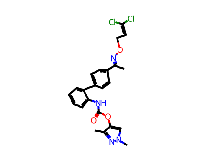 CC(=NOCC=C(Cl)Cl)c1ccc(-c2ccccc2NC(=O)Oc2cn(C)nc2C)cc1